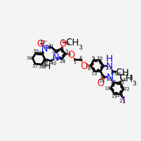 COc1c(OCCOc2ccc3c(c2)C(=O)N(c2ccc(I)cc2C)C(C)N3)cn2c1C=[N+]([O-])C1=CCCC[C@H]1C2